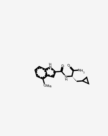 COc1cccc2[nH]c(C(=O)N[C@@H](CC3CC3)C(N)=O)cc12